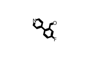 O=Cc1cc(F)ccc1-c1ccncc1